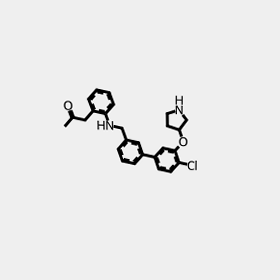 CC(=O)Cc1ccccc1NCc1cccc(-c2ccc(Cl)c(OC3CCNC3)c2)c1